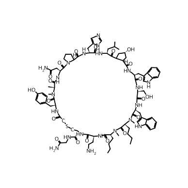 CCCC[C@H]1C(=O)N(C)[C@@H](CCCC)C(=O)N[C@@H](CCN)C(=O)N[C@H](C(=O)NCC(N)=O)CSCC(=O)N[C@@H](Cc2ccc(O)cc2)C(=O)N(C)[C@@H](C)C(=O)N[C@@H](CC(N)=O)C(=O)N2CCC[C@H]2C(=O)N[C@@H](Cc2cnc[nH]2)C(=O)N[C@@H](CC(C)C)C(=O)C2C[C@H](O)C[C@H]2C(=O)N[C@@H](Cc2c[nH]c3ccccc23)C(=O)N[C@@H](CO)C(=O)N[C@@H](Cc2c[nH]c3ccccc23)C(=O)N1C